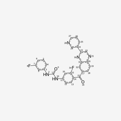 O=C(Nc1cccc(F)c1)Nc1ccc(C(=O)c2ccc3ncc(-c4cccnc4)nc3c2)c(F)c1